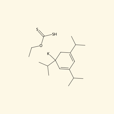 CC(C)C1=C[C]([K])(C(C)C)CC(C(C)C)=C1.CCOC(=S)S